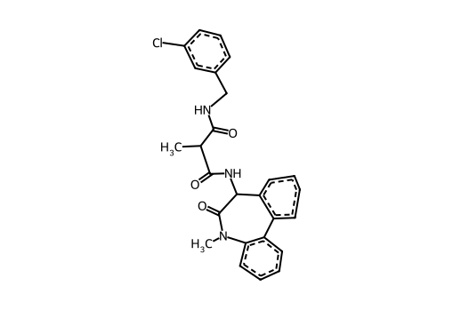 CC(C(=O)NCc1cccc(Cl)c1)C(=O)NC1C(=O)N(C)c2ccccc2-c2ccccc21